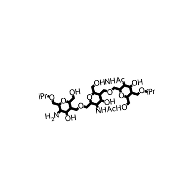 CC(=O)NC1C(COCC2C(CO)OC(COC(C)C)C(N)C2O)OC(CO)C(COCC2OC(CO)C(COC(C)C)C(O)C2NC(C)=O)C1O